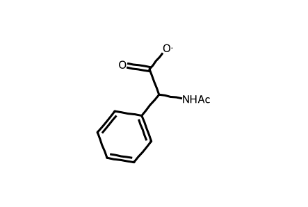 CC(=O)NC(C([O])=O)c1ccccc1